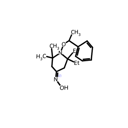 CCC1(CC)C/C(=N\O)CC(C)(C)N1OC(C)c1ccccc1